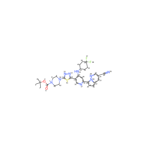 CC(C)(C)OC(=O)N1CCN(c2nnc(-c3cnc(-c4ccc5cc(C#N)cnn45)cc3NC3CCC(F)(F)CC3)s2)CC1